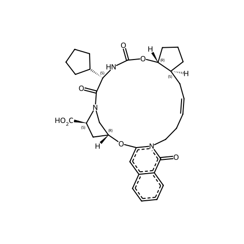 O=C1N[C@@H](C2CCCC2)C(=O)N2C[C@@H](C[C@H]2C(=O)O)Oc2cc3ccccc3c(=O)n2CCC=CC[C@@H]2CCC[C@H]2O1